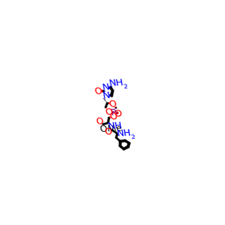 COC(=O)C(COP1(=O)CO[C@@H](Cn2ccc(N)nc2=O)CO1)NC(=O)C(N)Cc1ccccc1